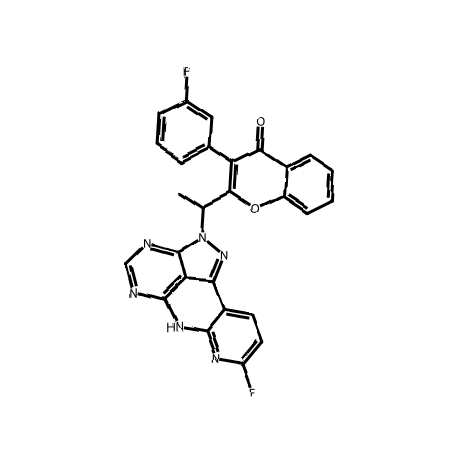 CC(c1oc2ccccc2c(=O)c1-c1cccc(F)c1)n1nc2c3c(ncnc31)Nc1nc(F)ccc1-2